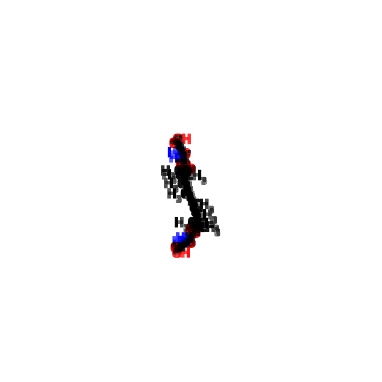 CC1=C(/C=C/C(C)=C/C=C/C(C)=C/C=C/C=C(C)/C=C/C=C(C)/C=C/C2=C(C)C(=O)[C@@H](OC(=O)CNC(=O)NCCCC(=O)O)CC2(C)C)C(C)(C)C[C@H](OC(=O)CNC(=O)NCCCC(=O)O)C1=O